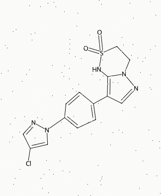 O=S1(=O)CCn2ncc(-c3ccc(-n4cc(Cl)cn4)cc3)c2N1